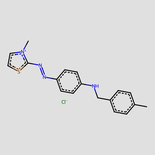 Cc1ccc(CNc2ccc(N=Nc3scc[n+]3C)cc2)cc1.[Cl-]